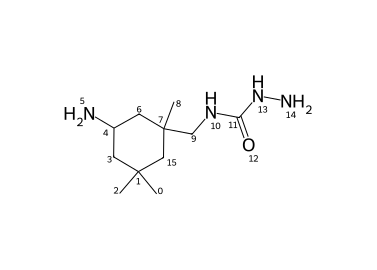 CC1(C)CC(N)CC(C)(CNC(=O)NN)C1